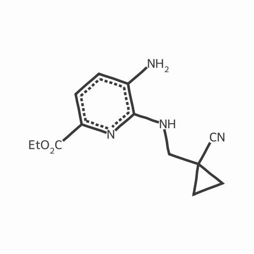 CCOC(=O)c1ccc(N)c(NCC2(C#N)CC2)n1